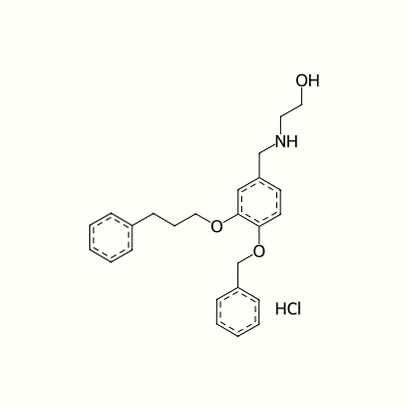 Cl.OCCNCc1ccc(OCc2ccccc2)c(OCCCc2ccccc2)c1